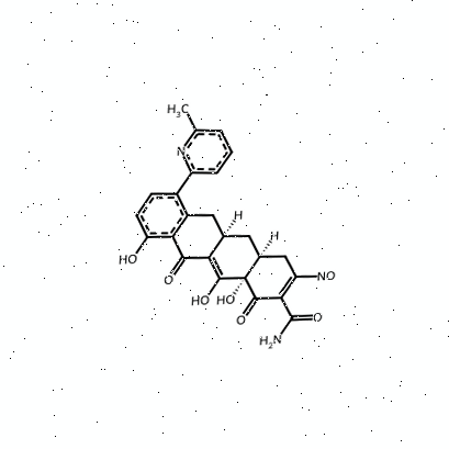 Cc1cccc(-c2ccc(O)c3c2C[C@H]2C[C@H]4CC(N=O)=C(C(N)=O)C(=O)[C@@]4(O)C(O)=C2C3=O)n1